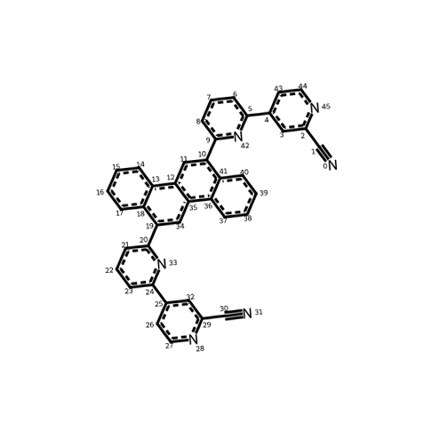 N#Cc1cc(-c2cccc(-c3cc4c5ccccc5c(-c5cccc(-c6ccnc(C#N)c6)n5)cc4c4ccccc34)n2)ccn1